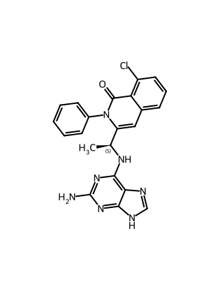 C[C@H](Nc1nc(N)nc2[nH]cnc12)c1cc2cccc(Cl)c2c(=O)n1-c1ccccc1